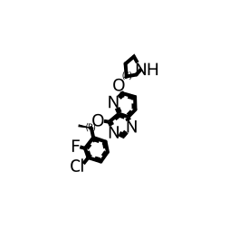 C[C@@H](Oc1ncnc2ccc(O[C@H]3CCNC3)nc12)c1cccc(Cl)c1F